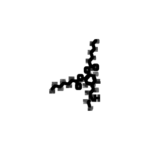 CCCCCCC(=O)Oc1ccc(CCNCC)cc1OC(=O)CCCCCC